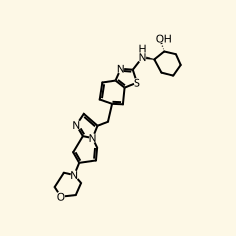 O[C@@H]1CCCC[C@H]1Nc1nc2ccc(Cc3cnc4cc(N5CCOCC5)ccn34)cc2s1